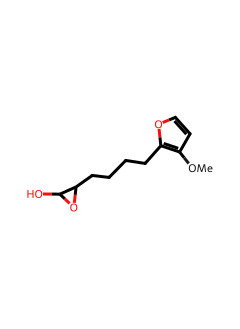 COc1ccoc1CCCCC1OC1O